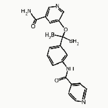 BC(B)(Oc1cncc(C(N)=O)c1)c1cccc(NC(=O)c2ccncc2)c1